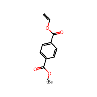 C=COC(=O)c1ccc(C(=O)OC(C)(C)C)cc1